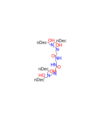 CCCCCCCCCCC(O)CN(CCN(C)CCC(=O)NCCNC(=O)CCN(C)CCN(CC(O)CCCCCCCCCC)CC(O)CCCCCCCCCC)CC(O)CCCCCCCCCC